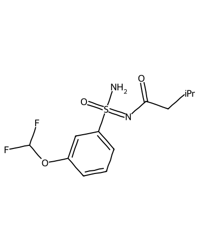 CC(C)CC(=O)N=S(N)(=O)c1cccc(OC(F)F)c1